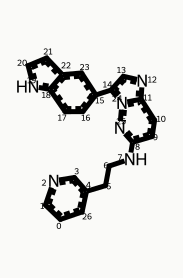 c1cncc(CCNc2ccc3ncc(-c4ccc5[nH]ccc5c4)n3n2)c1